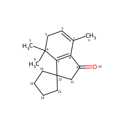 CC1=CCC(C)(C)C2=C1C(=O)CC21CCCC1